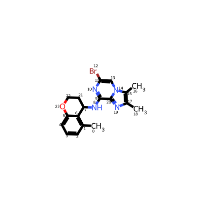 Cc1cccc2c1C(Nc1nc(Br)cn3c(C)c(C)nc13)CCO2